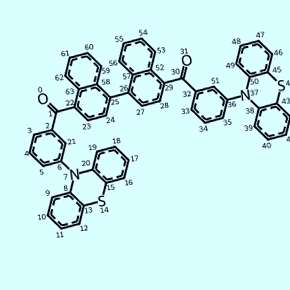 O=C(c1cccc(N2c3ccccc3Sc3ccccc32)c1)c1ccc(-c2ccc(C(=O)c3cccc(N4c5ccccc5Sc5ccccc54)c3)c3ccccc23)c2ccccc12